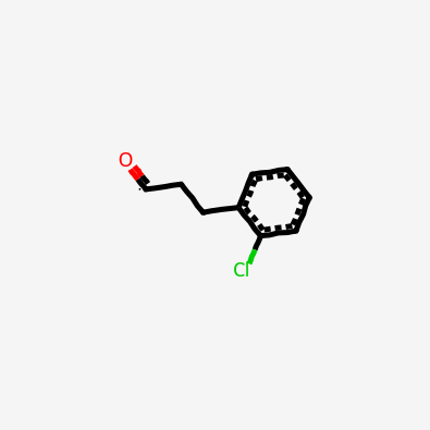 O=[C]CCc1ccccc1Cl